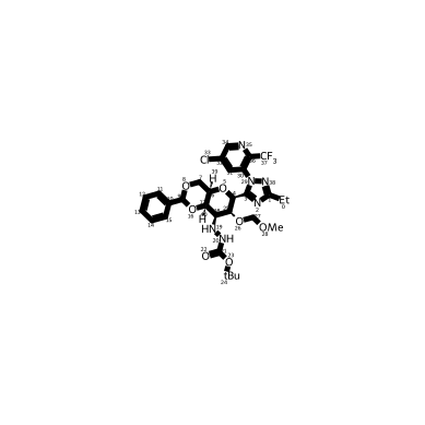 CCc1nc([C@@H]2O[C@@H]3COC(c4ccccc4)O[C@@H]3[C@H](NNC(=O)OC(C)(C)C)[C@H]2OCOC)n(-c2cc(Cl)cnc2C(F)(F)F)n1